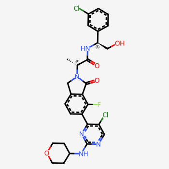 C[C@H](C(=O)N[C@H](CO)c1cccc(Cl)c1)N1Cc2ccc(-c3nc(NC4CCOCC4)ncc3Cl)c(F)c2C1=O